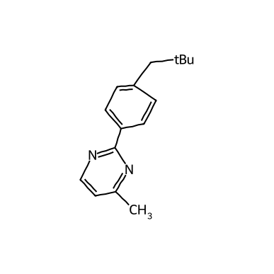 Cc1ccnc(-c2ccc(CC(C)(C)C)cc2)n1